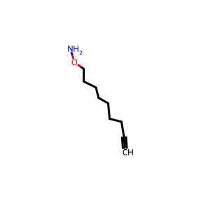 C#CCCCCCCCON